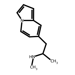 CNC(C)Cc1ccn2cccc2c1